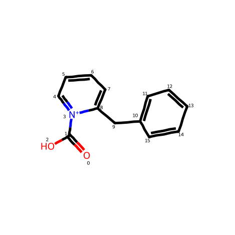 O=C(O)[n+]1ccccc1Cc1ccccc1